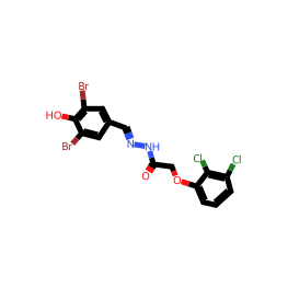 O=C(COc1cccc(Cl)c1Cl)N/N=C/c1cc(Br)c(O)c(Br)c1